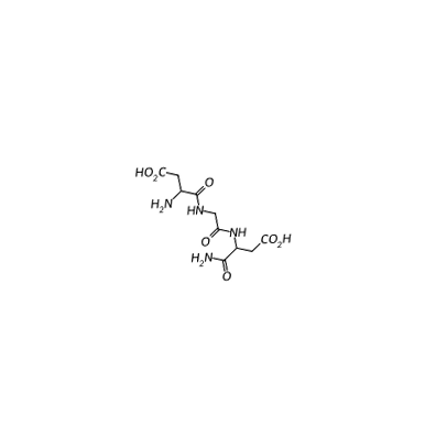 NC(=O)C(CC(=O)O)NC(=O)CNC(=O)C(N)CC(=O)O